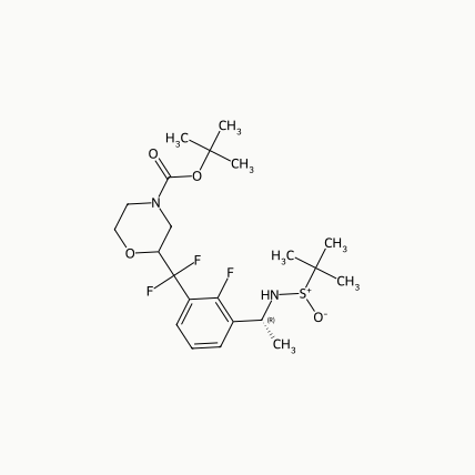 C[C@@H](N[S+]([O-])C(C)(C)C)c1cccc(C(F)(F)C2CN(C(=O)OC(C)(C)C)CCO2)c1F